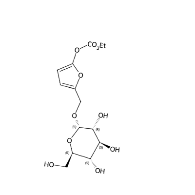 CCOC(=O)Oc1ccc(CO[C@H]2O[C@H](CO)[C@@H](O)[C@H](O)[C@H]2O)o1